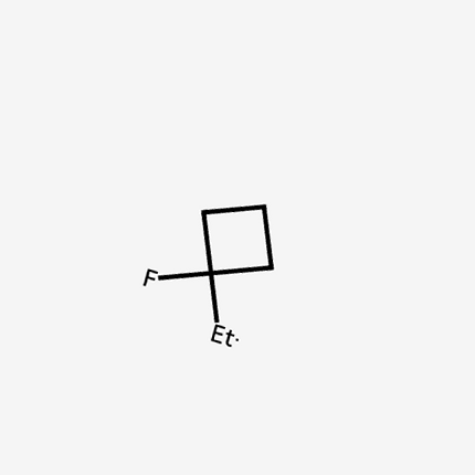 C[CH]C1(F)CCC1